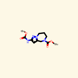 CC(C)(C)OC(=O)Nc1cc2n(n1)CCCN(C(=O)OC(C)(C)C)C2